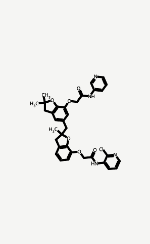 CC1(C)Cc2cc(CC3(C)Cc4cccc(OCC(=O)Nc5cccnc5Cl)c4O3)cc(OCC(=O)Nc3cccnc3)c2O1